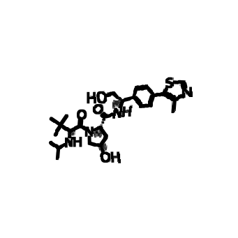 Cc1ncsc1-c1ccc([C@H](CO)NC(=O)[C@@H]2C[C@@H](O)CN2C(=O)[C@@H](NC(C)C)C(C)(C)C)cc1